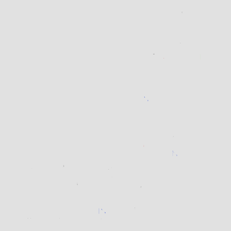 O=S(=O)(Nc1ccc(OC(F)F)nc1)c1c[nH]c(-c2ccccc2)c1